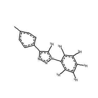 [2H]c1c([2H])c([2H])c(-n2nnc(-c3ccc(C)cc3)c2[2H])c([2H])c1[2H]